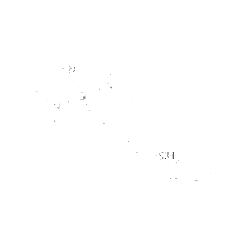 CC=C(C)[SiH2]CCC[Si](N(C)C)(N(C)C)N(C)C